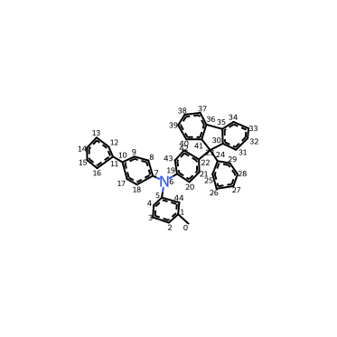 Cc1cccc(N(c2ccc(-c3ccccc3)cc2)c2ccc(C3(c4ccccc4)c4ccccc4-c4ccccc43)cc2)c1